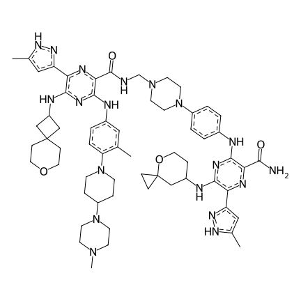 Cc1cc(-c2nc(C(N)=O)c(Nc3ccc(N4CCN(CNC(=O)c5nc(-c6cc(C)[nH]n6)c(NC6CC7(CCOCC7)C6)nc5Nc5ccc(N6CCC(N7CCN(C)CC7)CC6)c(C)c5)CC4)cc3)nc2NC2CCOC3(CC3)C2)n[nH]1